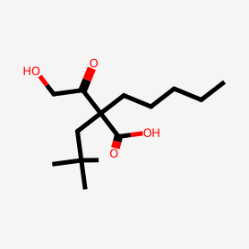 CCCCCC(CC(C)(C)C)(C(=O)O)C(=O)CO